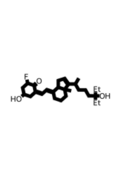 CCC(O)(CC)CCCC(C)C1=CCC2/C(=C/C=C3/CC(O)CC(F)C3=O)CCCC12C